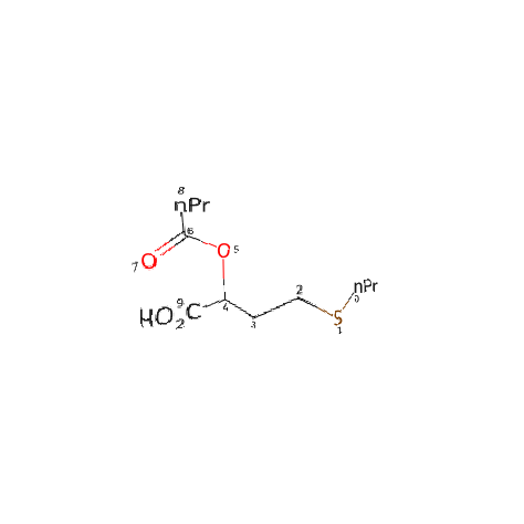 CCCSCCC(OC(=O)CCC)C(=O)O